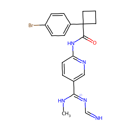 CN/C(=N\C=N)c1ccc(NC(=O)C2(c3ccc(Br)cc3)CCC2)nc1